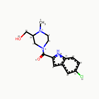 CN1CCN(C(=O)c2cc3cc(Cl)ccc3[nH]2)CC1CO